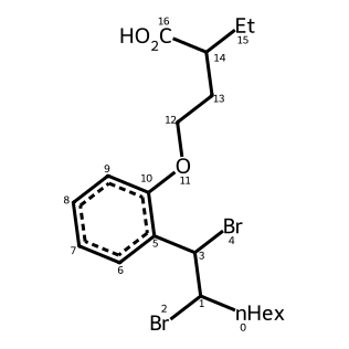 CCCCCCC(Br)C(Br)c1ccccc1OCCC(CC)C(=O)O